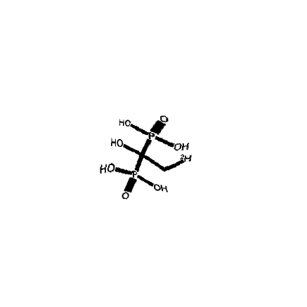 [2H]CC(O)(P(=O)(O)O)P(=O)(O)O